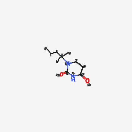 CCCC(C)(C)N1CCC(=O)NC1=O